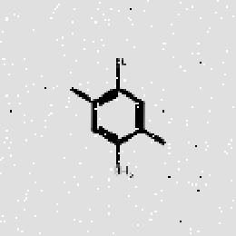 Bc1cc(C)c(CC)cc1C